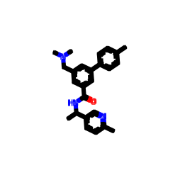 Cc1ccc(-c2cc(CN(C)C)cc(C(=O)NC(C)c3ccc(C)nc3)c2)cc1